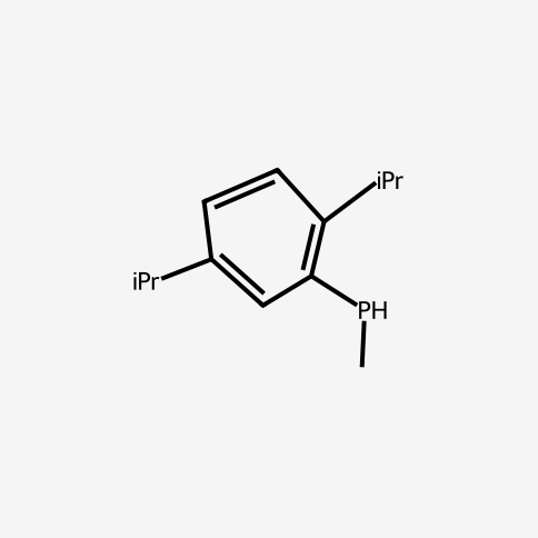 CPc1cc(C(C)C)ccc1C(C)C